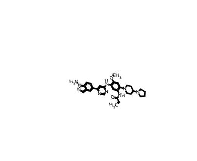 C=CC(=O)Nc1cc(Nc2cc(-c3ccc4c(cnn4C)c3)ncn2)c(OC)cc1N1CCC(N2CCCC2)CC1